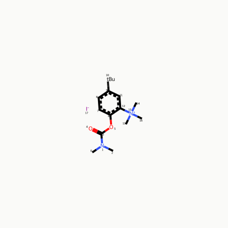 CN(C)C(=O)Oc1ccc(C(C)(C)C)cc1[N+](C)(C)C.[I-]